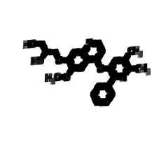 COc1cc2c(Oc3cc(C)c(C)nc3-c3ccccc3)ccnc2cc1OCC(O)CO